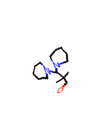 CC(C)(C=O)C(N1CCCCC1)N1CCCCC1